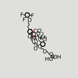 CCN(Cc1ccccc1Cl)C(=O)C1(C)C(c2ccc(CCCOc3c(F)ccc(F)c3F)cc2)CC2CN(C(=O)OCCOCCON(O)O)CC1N2C(=O)OC(C)(C)C(Cl)(Cl)Cl